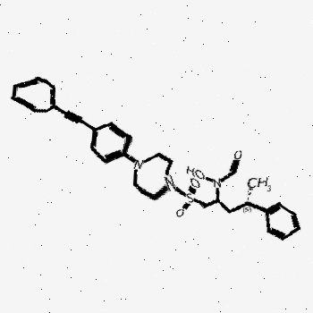 C[C@@H](CC(CS(=O)(=O)N1CCN(c2ccc(C#Cc3ccccc3)cc2)CC1)N(O)C=O)c1ccccc1